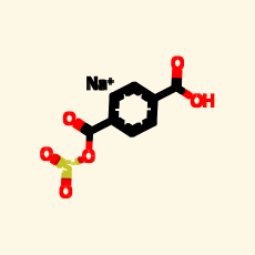 O=C(O)c1ccc(C(=O)O[S-](=O)=O)cc1.[Na+]